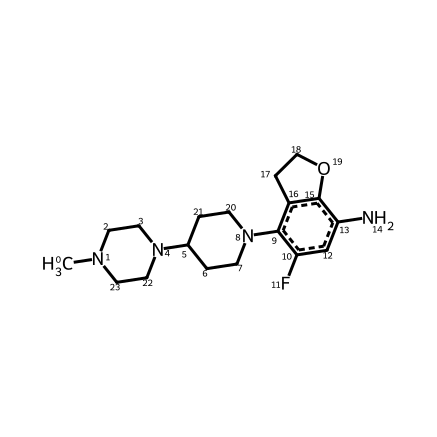 CN1CCN(C2CCN(c3c(F)cc(N)c4c3CCO4)CC2)CC1